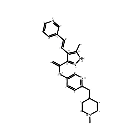 C=C(Nc1ccc(CC2CCN(C)CC2)nc1)c1n[nH]c(C)c1/C=C/c1cccnc1